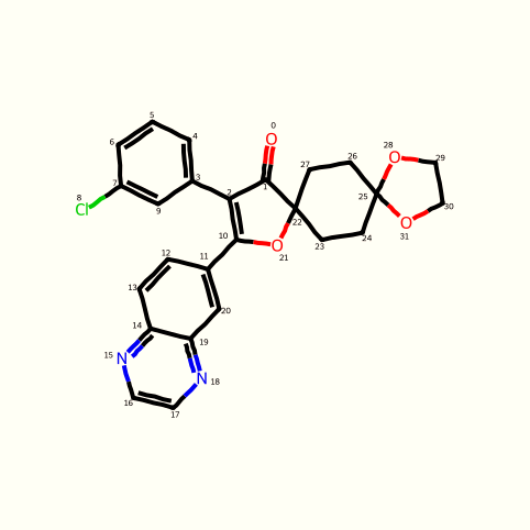 O=C1C(c2cccc(Cl)c2)=C(c2ccc3nccnc3c2)OC12CCC1(CC2)OCCO1